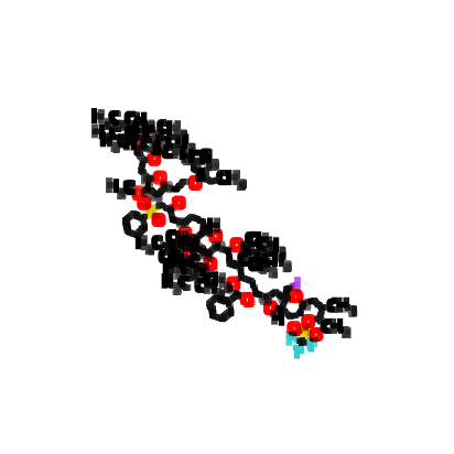 C=C(OS(=O)(=O)C(F)(F)F)C(C)C[C@H]1CC[C@@H]2O[C@@H](CCC(C=CC(O[Si](C)(C)C(C)(C)C)[C@@H]3O[C@H]4CC[C@H](CC(=O)C([C@@H]5[C@@H](OC)[C@@H](CC(CO[Si](C)(C)C(C)(C)C)O[Si](C)(C)C(C)(C)C)O[C@H]5CCO[Si](CC)(CC)CC)S(=O)(=O)c5ccccc5)O[C@@H]4[C@H](O[Si](C)(C)C(C)(C)C)[C@@H]3O[Si](C)(C)C(C)(C)C)OC(=O)c3ccccc3)C[C@]2(CI)O1